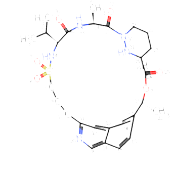 CC(C)[C@@H]1NS(=O)(=O)CCCc2cc3cc(ccc3cn2)[C@@H](C)OC(=O)[C@@H]2CCCN(N2)C(=O)[C@H](C)NC1=O